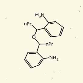 CCCC(OC(CCC)c1ccccc1N)c1ccccc1N